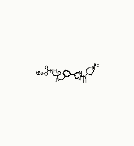 CC(=O)N1CCC(Nc2ncc(-c3cccc(CN(C)C(=O)CNC(=O)OC(C)(C)C)c3)cn2)CC1